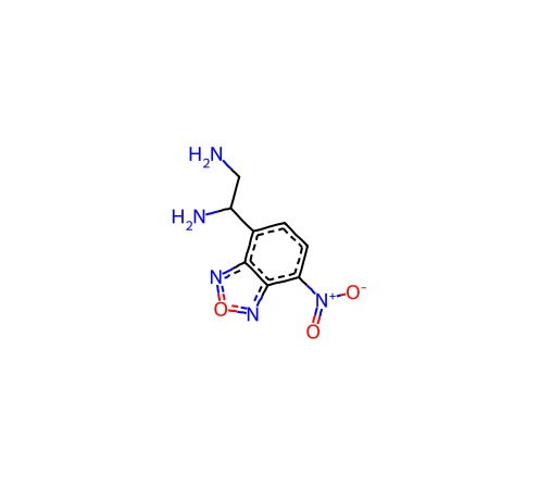 NCC(N)c1ccc([N+](=O)[O-])c2nonc12